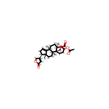 CC(=O)O[C@H]1CC[C@@]2(COC=O)[C@@H](CC[C@H]3C4=CC[C@H](C5=CC(=O)OC5)[C@@]4(C)CC[C@@H]32)C1